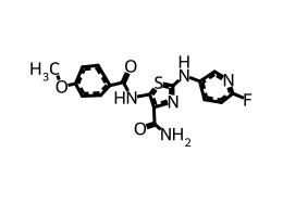 COc1ccc(C(=O)Nc2sc(Nc3ccc(F)nc3)nc2C(N)=O)cc1